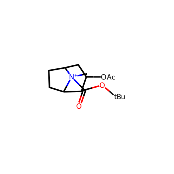 CC(=O)OC1CC2CCC(C1)[N+]2(C)C(=O)OC(C)(C)C